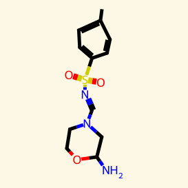 Cc1ccc(S(=O)(=O)N=CN2CCOC(N)C2)cc1